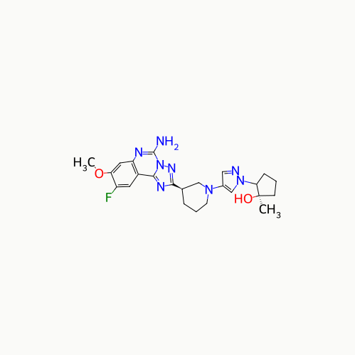 COc1cc2nc(N)n3nc([C@@H]4CCCN(c5cnn(C6CCC[C@@]6(C)O)c5)C4)nc3c2cc1F